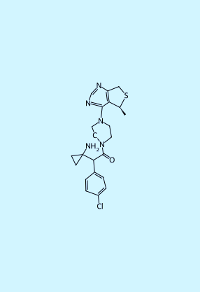 C[C@@H]1SCc2ncnc(N3CCN(C(=O)C(c4ccc(Cl)cc4)C4(N)CC4)CC3)c21